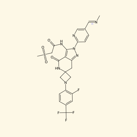 C/N=C/c1ccc(-n2nc3c(c2NC(=O)CS(C)(=O)=O)C(=O)NC2(C3)CN(c3ccc(C(F)(F)F)cc3F)C2)nc1